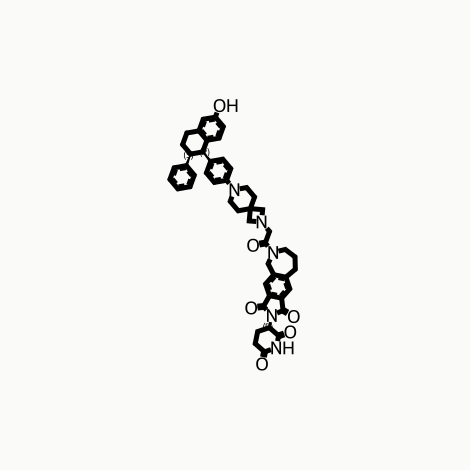 O=C1CC[C@@H](N2C(=O)c3cc4c(cc3C2=O)CN(C(=O)CN2CC3(CCN(c5ccc([C@@H]6c7ccc(O)cc7CC[C@@H]6c6ccccc6)cc5)CC3)C2)CCC4)C(=O)N1